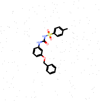 Cc1ccc(S(=O)(=O)NC(=O)Nc2cccc(OCc3ccccc3)c2)cc1